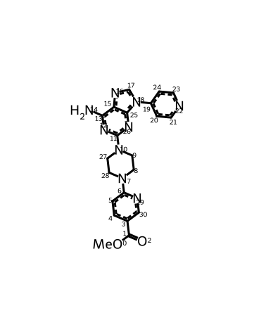 COC(=O)c1ccc(N2CCN(c3nc(N)c4ncn(-c5ccncc5)c4n3)CC2)nc1